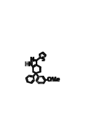 COc1cccc(C2(c3ccccc3)C=Cc3c(-c4cccs4)n[nH]c3C2)c1